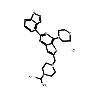 Cl.NC(C=O)N1CCN(Cc2cc3nc(-c4cccc5[nH]ncc45)nc(N4CCOCC4)c3s2)CC1